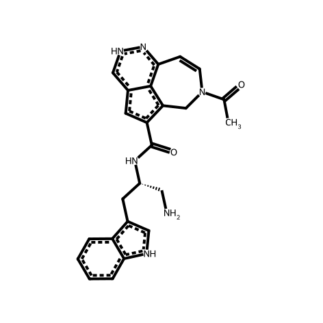 CC(=O)N1C=Cc2n[nH]cc3cc(C(=O)N[C@H](CN)Cc4c[nH]c5ccccc45)c(c2-3)C1